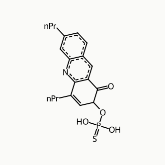 CCCC1=CC(OP(O)(O)=S)C(=O)c2cc3ccc(CCC)cc3nc21